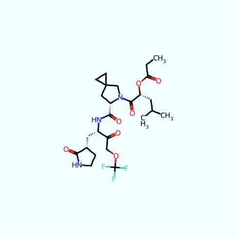 CCC(=O)O[C@H](CC(C)C)C(=O)N1CC2(CC2)C[C@H]1C(=O)N[C@@H](C[C@@H]1CCNC1=O)C(=O)COC(F)(F)F